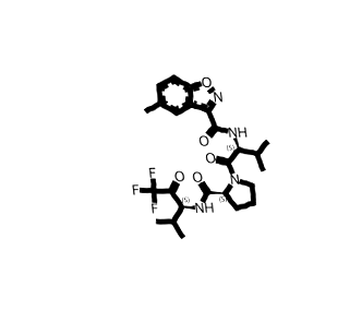 Cc1ccc2onc(C(=O)N[C@H](C(=O)N3CCC[C@H]3C(=O)N[C@H](C(=O)C(F)(F)F)C(C)C)C(C)C)c2c1